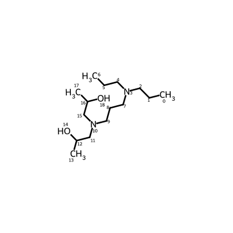 CCCN(CCC)CCCN(CC(C)O)CC(C)O